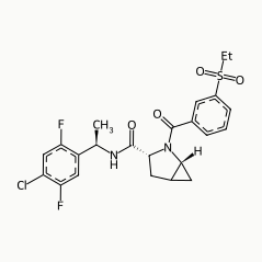 CCS(=O)(=O)c1cccc(C(=O)N2[C@@H](C(=O)N[C@H](C)c3cc(F)c(Cl)cc3F)CC3C[C@H]32)c1